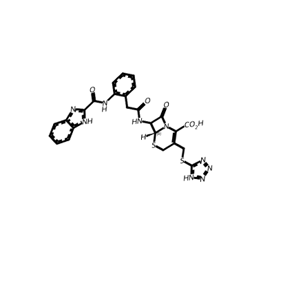 O=C(Cc1ccccc1NC(=O)c1nc2ccccc2[nH]1)NC1C(=O)N2C(C(=O)O)=C(CSc3nnn[nH]3)CS[C@H]12